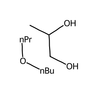 CC(O)CO.CCCCOCCC